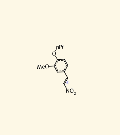 CCCOc1ccc(/C=C/[N+](=O)[O-])cc1OC